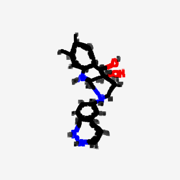 Cc1cc2c(cc1C)C(=O)[C@]1(O)CCN(c3ccc4nnccc4c3)C1=N2